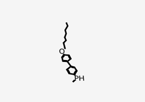 CCCCCCCCOc1ccc(-c2ccc(PC)cc2)cc1